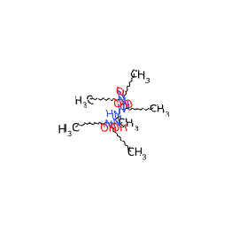 CCCCCCCCCCC(O)CN(CCN(CC)CCNCCN(CCN(CC(O)CCCCCCCCCC)CC(CCCCCCCCCC)N=O)CC(CCCCCCCCCC)N=O)CC(O)CCCCCCCCCC